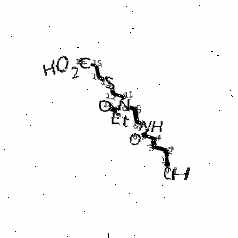 C#CCCCC(=O)NCCN(CCSCCC(=O)O)C(=O)CC